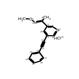 CON=C(C)c1cncc(C#Cc2ccccc2)c1.Cl